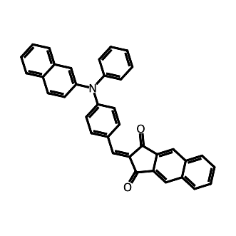 O=C1C(=Cc2ccc(N(c3ccccc3)c3ccc4ccccc4c3)cc2)C(=O)c2cc3ccccc3cc21